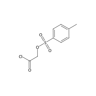 Cc1ccc(S(=O)(=O)OCC(=O)Cl)cc1